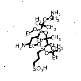 CCO[Si](CCCS(=O)(=O)O)(OC(C)(C)CC)C(CC)C(C)(CC)O[Si](CCCN)(OCC)C(C)(C)O[SiH2]N